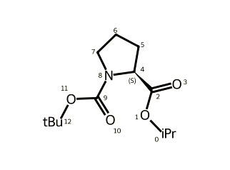 CC(C)OC(=O)[C@@H]1CCCN1C(=O)OC(C)(C)C